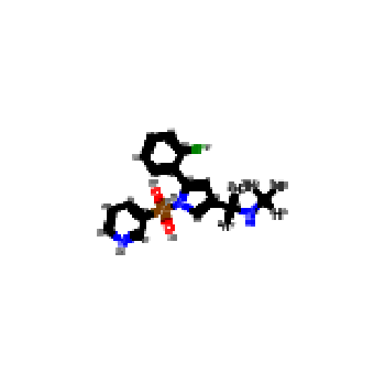 [2H]C([2H])([2H])NC([2H])([2H])c1cc(-c2ccccc2F)n(S(=O)(=O)c2cccnc2)c1